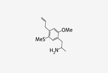 C=CCc1cc(OC)c(CC(C)N)cc1SC